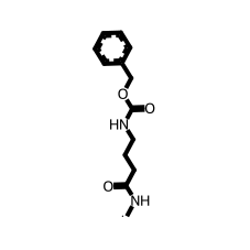 [CH2]NC(=O)CCCNC(=O)OCc1ccccc1